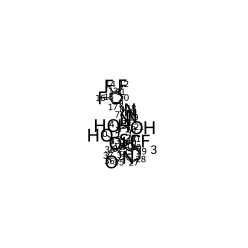 OC[C@@H]1[C@H](O)[C@@H](n2cc(-c3cc(F)c(F)c(F)c3)nn2)[C@@H](O)C[SH]1[C@@H](c1ncccc1C(F)(F)F)C1(O)CCOCC1